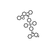 c1ccc([Si](c2ccccc2)(c2ccc(-n3c4ccccc4c4cnccc43)cc2)c2ccc(-n3c4ccccc4c4ccc5c6ccccc6oc5c43)cc2)cc1